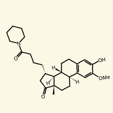 COc1cc2c(cc1O)CC[C@H]1[C@@H]3[C@@H](CCCC(=O)N4CCCCC4)CC(=O)[C@@]3(C)CC[C@H]21